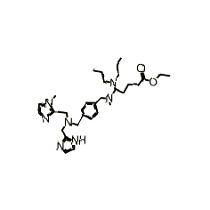 CCCN(CCC)C(CCCC(=O)OCC)N(C)Cc1ccc(CN(Cc2ncc[nH]2)Cc2nccn2C)cc1